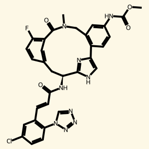 COC(=O)Nc1ccc2c(c1)CN(C)C(=O)c1cc(ccc1F)C[C@H](NC(=O)/C=C/c1cc(Cl)ccc1-n1cnnn1)c1nc-2c[nH]1